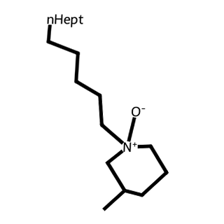 CCCCCCCCCCCC[N+]1([O-])CCCC(C)C1